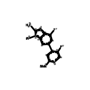 CNc1cc(-c2cc(F)c3nc(C)n(C(C)C)c3c2)c(F)cn1